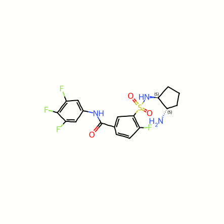 N[C@H]1CCC[C@@H]1NS(=O)(=O)c1cc(C(=O)Nc2cc(F)c(F)c(F)c2)ccc1F